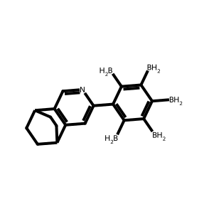 Bc1c(B)c(B)c(-c2cc3c(cn2)C2CCC3CC2)c(B)c1B